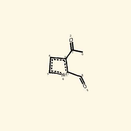 CC(=O)c1cc[nH]c1[C]=O